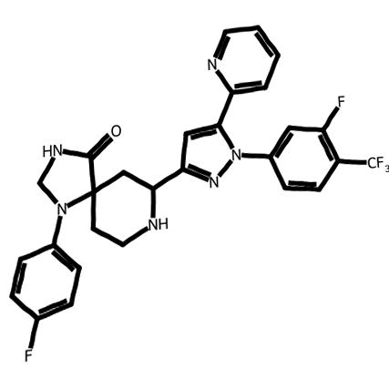 O=C1NCN(c2ccc(F)cc2)C12CCNC(c1cc(-c3ccccn3)n(-c3ccc(C(F)(F)F)c(F)c3)n1)C2